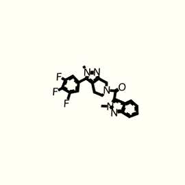 Cn1nc2c(c1-c1cc(F)c(F)c(F)c1)CCN(C(=O)c1c3ccccc3nn1C)C2